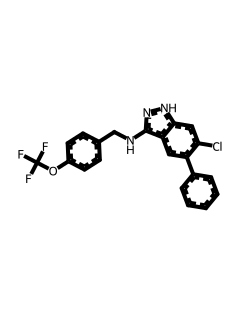 FC(F)(F)Oc1ccc(CNc2n[nH]c3cc(Cl)c(-c4ccccc4)cc23)cc1